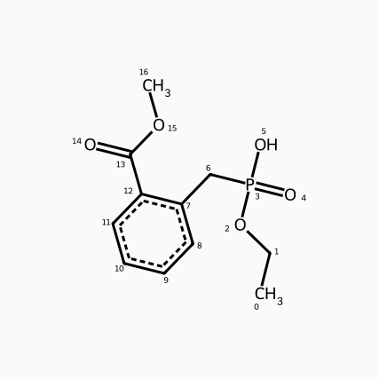 CCOP(=O)(O)Cc1ccccc1C(=O)OC